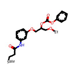 CCOCC(COc1cccc(NC(=O)CCSC)c1)OC(=O)Oc1ccccc1